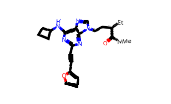 CCC(CCn1cnc2c(NC3CCC3)nc(C#Cc3ccco3)nc21)C(=O)NC